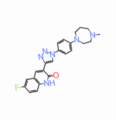 CN1CCCN(c2ccc(-n3cc(-c4cc5cc(F)ccc5[nH]c4=O)nn3)cc2)CC1